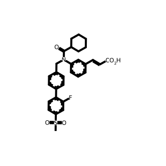 CS(=O)(=O)c1ccc(-c2ccc(CN(C(=O)C3CCCCC3)c3cccc(C=CC(=O)O)c3)cc2)c(F)c1